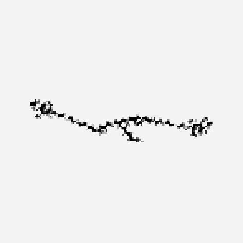 CC(=O)N[C@H]1[C@H]2OC[C@@](COCCOCCOCCOCCn3cc(COCC(COCc4cn(CCOCCOCCOCCOC[C@]56CO[C@@H](O5)[C@H](NC(C)=O)[C@@H](O)[C@H]6O)nn4)NC(=O)CCCN)nn3)(O2)[C@H](O)[C@@H]1O